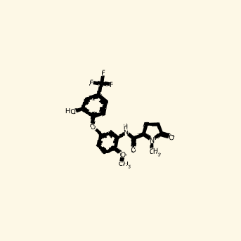 COc1ccc(Oc2ccc(C(F)(F)F)cc2O)cc1NC(=O)C1CCC(=O)N1C